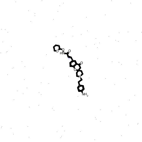 Nc1ccc(CCN2CCC3(CC2)CC(=O)c2cc(/C=C/C(=O)NOC4CCCCO4)ccc2O3)cc1